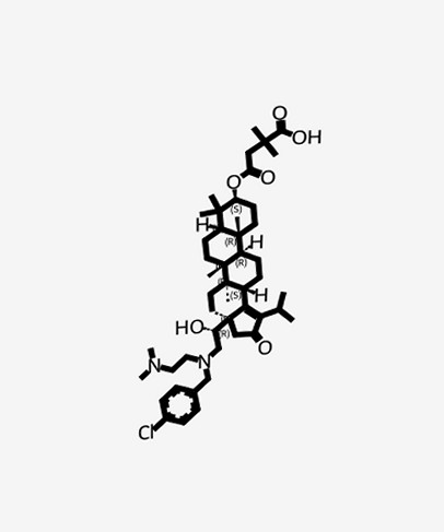 CC(C)C1=C2[C@H]3CC[C@@H]4[C@@]5(C)CC[C@H](OC(=O)CC(C)(C)C(=O)O)C(C)(C)[C@H]5CC[C@@]4(C)[C@]3(C)CC[C@@]2([C@@H](O)CN(CCN(C)C)Cc2ccc(Cl)cc2)CC1=O